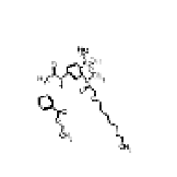 CCCCCCCCOCC(=O)N(C)c1cc(NC(C)=O)ccc1[As](=O)(O)OO.CCOC(=O)c1ccccc1